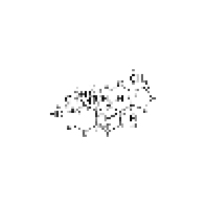 C[C@@]12CCC[C@H]1[C@@H]1CC=C3CCC(O)(O)C(O)(O)[C@]3(C)[C@H]1CC2